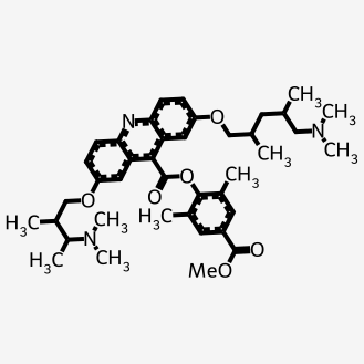 COC(=O)c1cc(C)c(OC(=O)c2c3cc(OCC(C)CC(C)CN(C)C)ccc3nc3ccc(OCC(C)C(C)N(C)C)cc23)c(C)c1